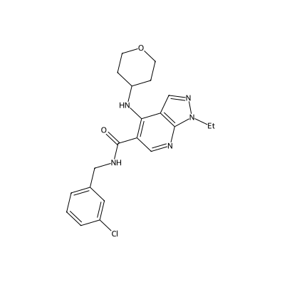 CCn1ncc2c(NC3CCOCC3)c(C(=O)NCc3cccc(Cl)c3)cnc21